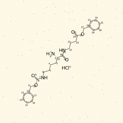 Cl.N[C@@H](CCCCNC(=O)OCc1ccccc1)C(=O)NCCCC(=O)OCc1ccccc1